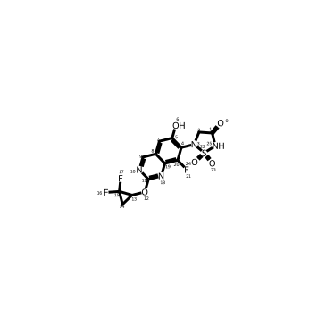 O=C1CN(c2c(O)cc3cnc(OC4CC4(F)F)nc3c2F)S(=O)(=O)N1